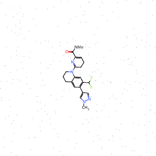 CNC(=O)C1=CCCC(N2CCCc3cc(-c4cnn(C)c4)c(C(F)F)cc32)=N1